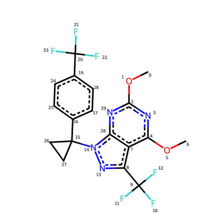 COc1nc(OC)c2c(C(F)(F)F)nn(C3(c4ccc(C(F)(F)F)cc4)CC3)c2n1